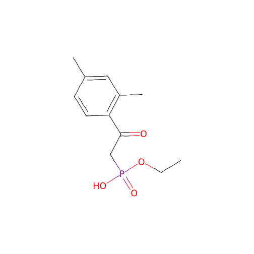 CCOP(=O)(O)CC(=O)c1ccc(C)cc1C